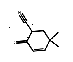 CC1(C)C=CC(=O)C(C#N)C1